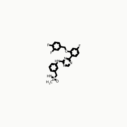 CS(=N)(=O)Cc1cccc(Nc2ncnc(-c3ccc(F)cc3OCc3ccc(F)c(F)c3)n2)c1